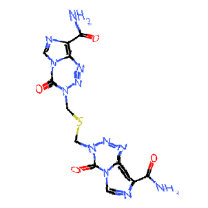 NC(=O)c1ncn2c(=O)n(CSCn3nnc4c(C(N)=O)ncn4c3=O)nnc12